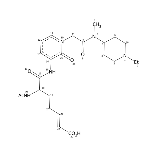 CCN1CCC(N(C)C(=O)Cn2cccc(NC(=O)C(CCC=CC(=O)O)NC(C)=O)c2=O)CC1